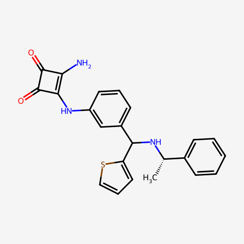 C[C@H](NC(c1cccc(Nc2c(N)c(=O)c2=O)c1)c1cccs1)c1ccccc1